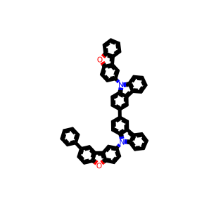 c1ccc(-c2ccc3oc4ccc(-n5c6ccccc6c6cc(-c7ccc8c(c7)c7ccccc7n8-c7ccc8oc9ccccc9c8c7)ccc65)cc4c3c2)cc1